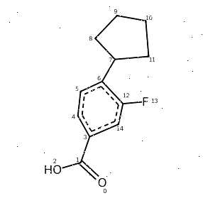 O=C(O)c1ccc(C2CCCC2)c(F)c1